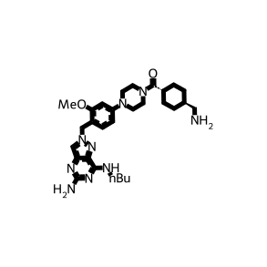 CCCCNc1nc(N)nc2cn(Cc3ccc(N4CCN(C(=O)[C@H]5CC[C@H](CN)CC5)CC4)cc3OC)nc12